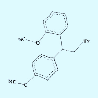 CC(C)CC(c1ccc(OC#N)cc1)c1ccccc1OC#N